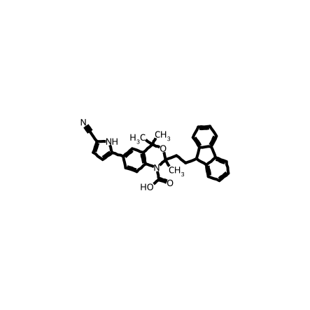 CC1(C)OC(C)(CCC2c3ccccc3-c3ccccc32)N(C(=O)O)c2ccc(-c3ccc(C#N)[nH]3)cc21